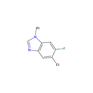 CCc1cc2ncn(C(C)C)c2cc1F